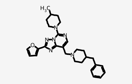 CC1CCN(c2ncc(CN3CCC(Cc4ccccc4)CC3)c3nc(-c4ccco4)nn23)CC1